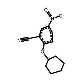 N#Cc1cc([N+](=O)[O-])ccc1OC1CCCCC1